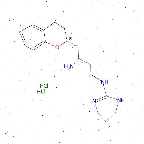 Cl.Cl.NC(CCNC1=NCCCN1)C[C@H]1CCc2ccccc2O1